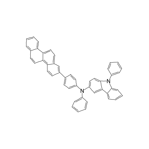 c1ccc(N(c2ccc(-c3ccc4c(ccc5c6ccccc6ccc45)c3)cc2)c2ccc3c(c2)c2ccccc2n3-c2ccccc2)cc1